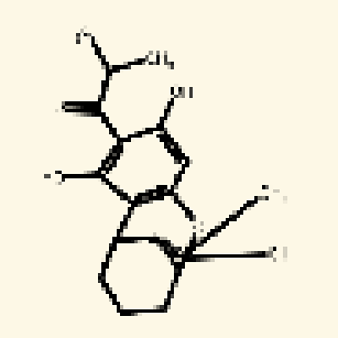 CC(C)C(=O)c1c(O)cc2c(c1O)C1CCCC3(O2)OC(C)(C)CCC13